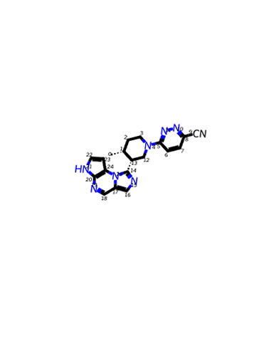 C[C@@H]1CCN(c2ccc(C#N)nn2)C[C@@H]1c1ncc2cnc3[nH]ccc3n12